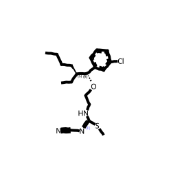 CCCC[C@H](CC)[C@@H](OCCN/C(=N\C#N)SC)c1cccc(Cl)c1